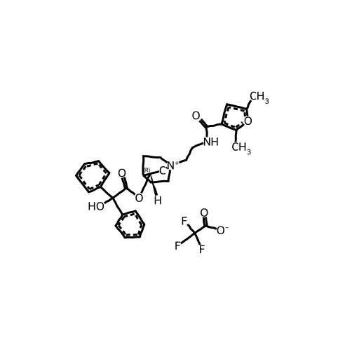 Cc1cc(C(=O)NCC[N+]23CCC(CC2)[C@@H](OC(=O)C(O)(c2ccccc2)c2ccccc2)C3)c(C)o1.O=C([O-])C(F)(F)F